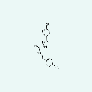 C/C(=N\NC(=N)N/N=C/c1ccc(C(F)(F)F)cc1)c1ccc(C(F)(F)F)cc1